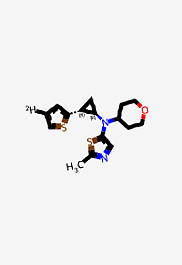 [2H]c1csc([C@@H]2C[C@H]2N(c2cnc(C)s2)C2CCOCC2)c1